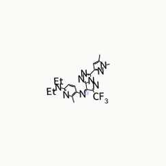 CCN(CC)c1ccc(/N=C2/C(C(F)(F)F)=Nn3c2nnc3-c2cc(C)n(C)n2)c(C)n1